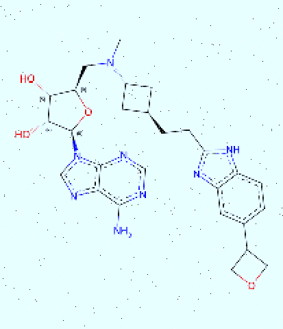 CN(C[C@H]1O[C@@H](n2cnc3c(N)ncnc32)[C@H](O)[C@@H]1O)[C@H]1C[C@H](CCc2nc3cc(C4COC4)ccc3[nH]2)C1